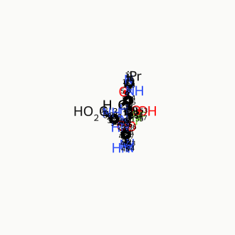 Cc1cc(C(=O)NC2CCN(C(C)C)CC2)ccc1-c1ccc(C[C@H](NC(=O)[C@H]2CC[C@H](CNC(=O)O)CC2)C(=O)Nc2ccc(-c3nn[nH]n3)cc2)cc1.O=C(O)C(F)(F)F